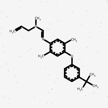 C=CCN(C)C=Nc1cc(C)c(Oc2cccc(C(C)(C)C)c2)cc1C